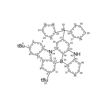 CC(C)(C)c1ccc2c(c1)c1cc(C(C)(C)C)cc3c1n2-c1cc(C(C)(c2ccccc2)c2ccccc2)cc2c1B3c1ccccc1N2